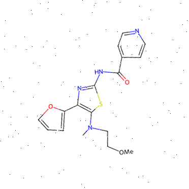 COCCN(C)c1sc(NC(=O)c2ccncc2)nc1-c1ccco1